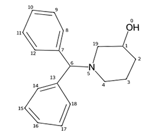 OC1CCCN(C(c2ccccc2)c2ccccc2)C1